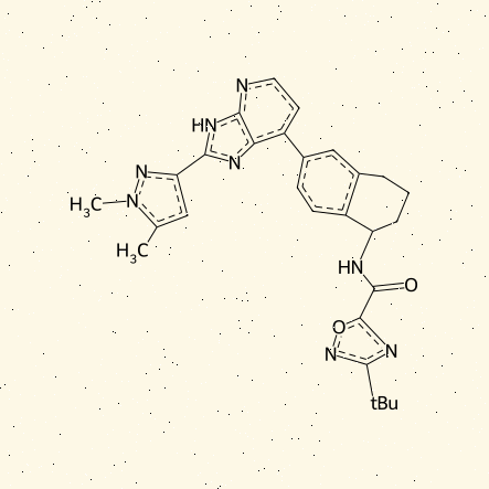 Cc1cc(-c2nc3c(-c4ccc5c(c4)CCCC5NC(=O)c4nc(C(C)(C)C)no4)ccnc3[nH]2)nn1C